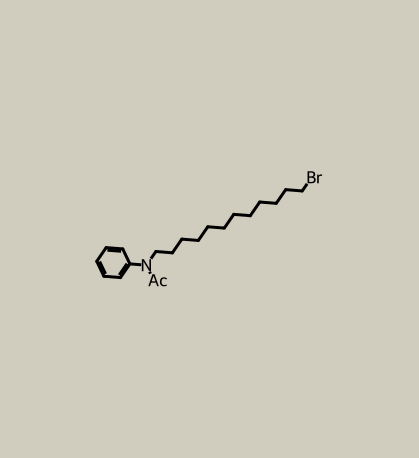 CC(=O)N(CCCCCCCCCCCCBr)c1ccccc1